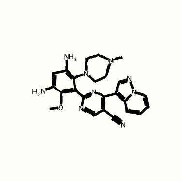 COc1c(N)cc(N)c(N2CCN(C)CC2)c1-c1ncc(C#N)c(-c2cnn3ccccc23)n1